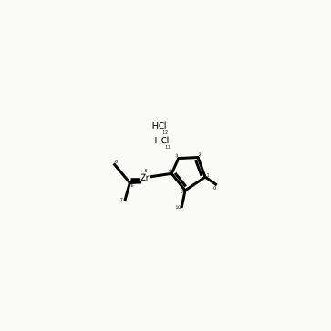 CC1=CC[C]([Zr]=[C](C)C)=C1C.Cl.Cl